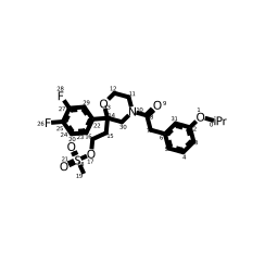 CC(C)Oc1cccc(CC(=O)N2CCOC(CCOS(C)(=O)=O)(c3ccc(F)c(F)c3)C2)c1